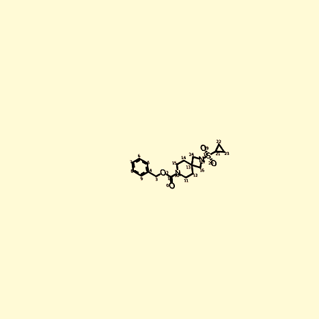 O=C(OCc1ccccc1)N1CCC2(CC1)CN(S(=O)(=O)C1CC1)C2